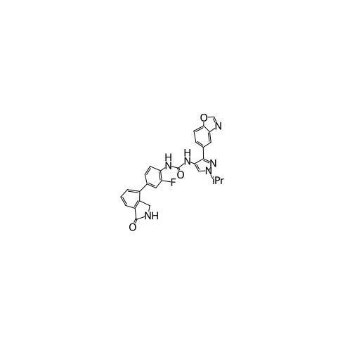 CC(C)n1cc(NC(=O)Nc2ccc(-c3cccc4c3CNC4=O)cc2F)c(-c2ccc3ocnc3c2)n1